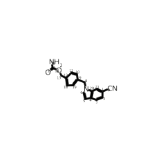 N#Cc1ccc2ccn(Cc3ccc(COC(N)=O)cc3)c2c1